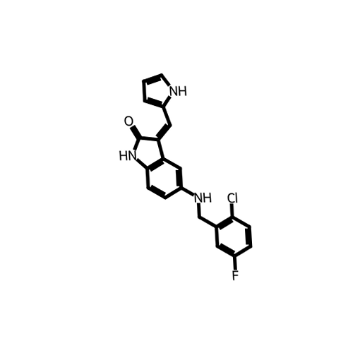 O=C1Nc2ccc(NCc3cc(F)ccc3Cl)cc2/C1=C/c1ccc[nH]1